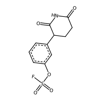 O=C1CCC(c2cccc(OS(=O)(=O)F)c2)C(=O)N1